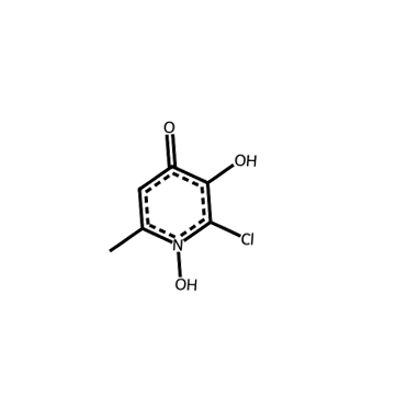 Cc1cc(=O)c(O)c(Cl)n1O